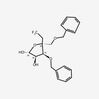 O[C@H]1[C@H](O)O[C@@](COCc2ccccc2)(CC(F)(F)F)[C@H]1OCc1ccccc1